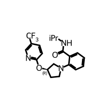 CC(C)NC(=O)c1ccccc1N1CC[C@@H](Oc2ccc(C(F)(F)F)cn2)C1